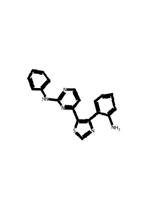 Nc1ccccc1-c1ncsc1-c1ccnc(Nc2ccccc2)n1